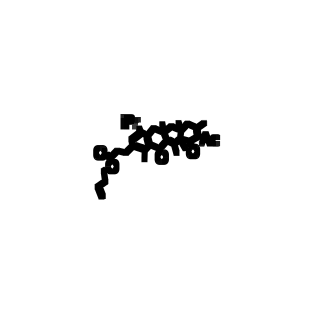 C=CCCOC(=O)CCc1cc(C(C)C)c2c(c1C)C(=O)C1=C(C)C3(C)C(=O)C(C(C)=O)=C(C)CC3(C)CC1(C)C2